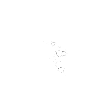 O=C(Nc1ccc(F)nc1)[C@@H]1C[C@H](Cl)CN1c1nc(Nc2cc(C3CC3)[nH]n2)n2cccc2n1